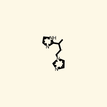 CC([CH]Cn1ccnc1)c1ncc[nH]1